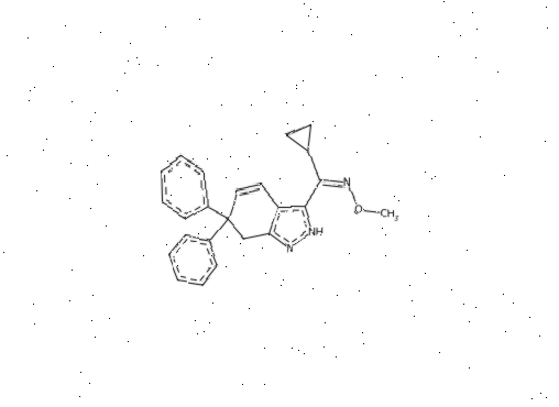 CO/N=C(\c1[nH]nc2c1C=CC(c1ccccc1)(c1ccccc1)C2)C1CC1